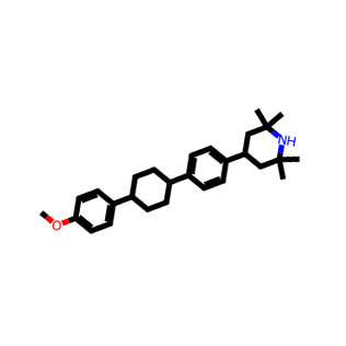 COc1ccc(C2CCC(c3ccc(C4CC(C)(C)NC(C)(C)C4)cc3)CC2)cc1